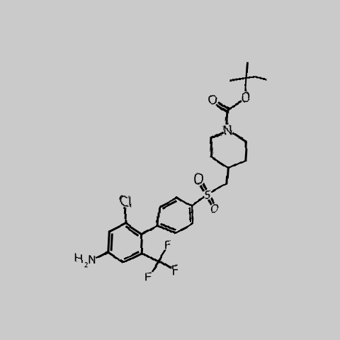 CC(C)(C)OC(=O)N1CCC(CS(=O)(=O)c2ccc(-c3c(Cl)cc(N)cc3C(F)(F)F)cc2)CC1